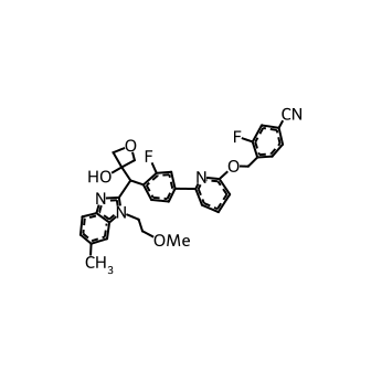 COCCn1c(C(c2ccc(-c3cccc(OCc4ccc(C#N)cc4F)n3)cc2F)C2(O)COC2)nc2ccc(C)cc21